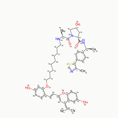 Cc1ncsc1-c1ccc([C@H](C)NC(=O)[C@@H]2C[C@@H](O)CN2C(=O)[C@@H](NCCCCCCCCCCOc2cc(O)ccc2/C=C/C2=CC(=C(C#N)C#N)c3cc(O)ccc3O2)C(C)(C)C)cc1